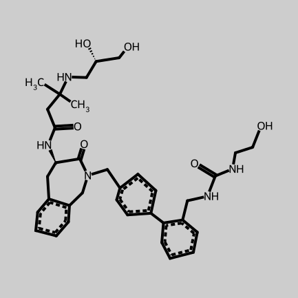 CC(C)(CC(=O)N[C@@H]1Cc2ccccc2CN(Cc2ccc(-c3ccccc3CNC(=O)NCCO)cc2)C1=O)NC[C@H](O)CO